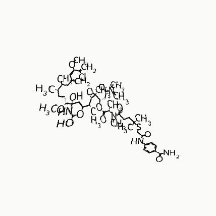 C=C(/C=C(/OC)C(=C)Cl)CC(C)[C@@H](C)CC[C@@H](OC)[C@@]1(O)CC([C@@H](C)[C@@H]2O[C@@]2(C)[C@H](CC(=O)N(C)C)OC(=O)[C@H](C)N(C)C(=O)CCC(C)(C)SCC(=O)Nc2ccc(C(N)=O)cc2)OC(O)N1